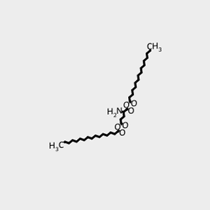 CCCCCCCCCCCCCCCC(=O)OC(=O)CCC(N)C(=O)OC(=O)CCCCCCCCCCCCCCC